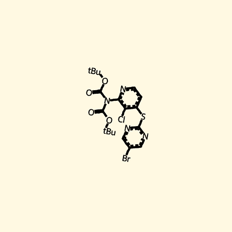 CC(C)(C)OC(=O)N(C(=O)OC(C)(C)C)c1nccc(Sc2ncc(Br)cn2)c1Cl